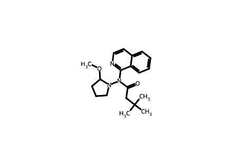 COC1CCCN1N(C(=O)CC(C)(C)C)c1nccc2ccccc12